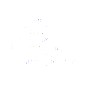 Nc1nn2cc(Cl)cnc2c1C(=O)Nc1cnccc1OCC(F)(F)F